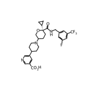 O=C(O)c1cncc(C2CCN(C3CC[C@@](C(=O)NCc4cc(F)cc(C(F)(F)F)c4)(C4CC4)OC3)CC2)c1